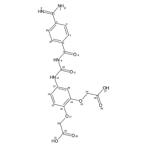 N=C(N)c1ccc(C(=O)NC(=O)Nc2ccc(OCC(=O)O)c(OCC(=O)O)c2)cc1